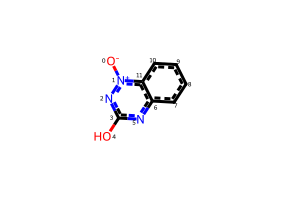 [O-][n+]1nc(O)nc2ccccc21